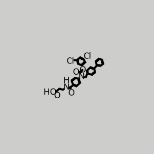 O=C(O)CCNC(=O)c1ccc(N(Cc2ccc(-c3ccccc3)cc2)C(=O)Oc2cc(Cl)cc(Cl)c2)cc1